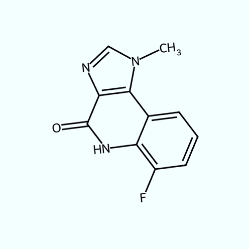 Cn1cnc2c(=O)[nH]c3c(F)cccc3c21